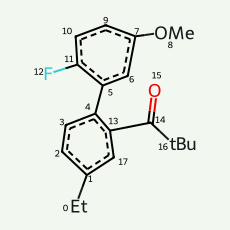 CCc1ccc(-c2cc(OC)ccc2F)c(C(=O)C(C)(C)C)c1